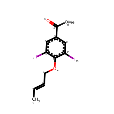 C/C=C/COc1c(I)cc(C(=O)OC)cc1I